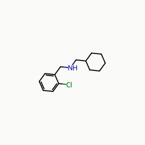 Clc1ccccc1CNCC1CCCCC1